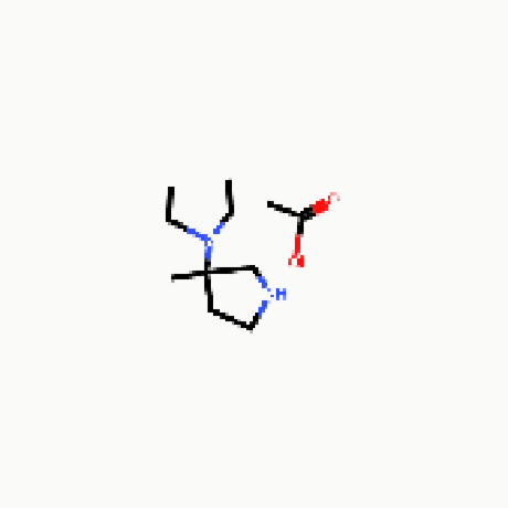 CC(=O)O.CCN(CC)C1(C)CCNC1